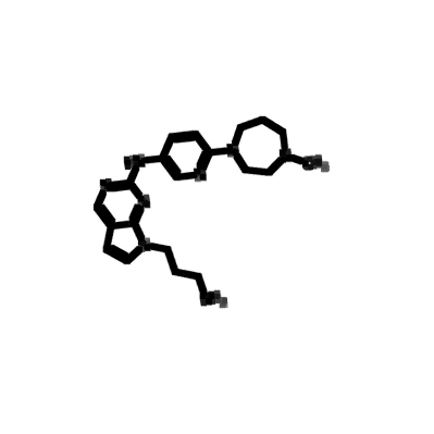 CN1CCCN(c2ccc(Nc3ncc4ccn(CCCN)c4n3)cn2)CC1